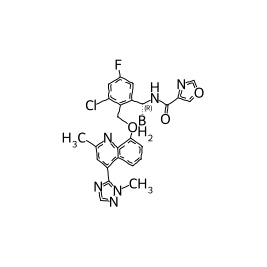 B[C@@H](NC(=O)c1cocn1)c1cc(F)cc(Cl)c1COc1cccc2c(-c3ncnn3C)cc(C)nc12